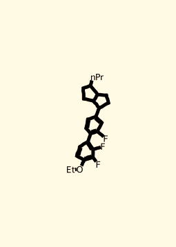 CCCC1CCC2C(c3ccc(-c4ccc(OCC)c(F)c4F)c(F)c3)CCC12